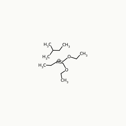 CCC(C)C.CCO[SiH](OCC)OCC